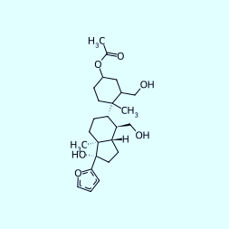 CC(=O)OC1CCC(C)([C@H]2CC[C@@]3(C)[C@@H](CC[C@@]3(O)c3ccco3)[C@@H]2CO)C(CO)C1